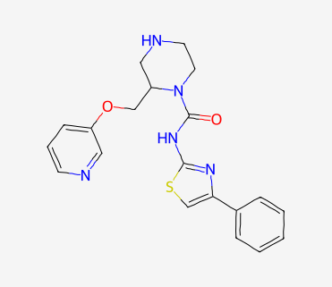 O=C(Nc1nc(-c2ccccc2)cs1)N1CCNCC1COc1cccnc1